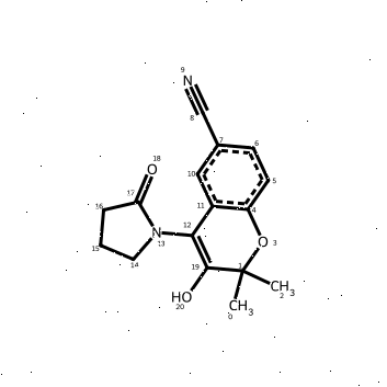 CC1(C)Oc2ccc(C#N)cc2C(N2CCCC2=O)=C1O